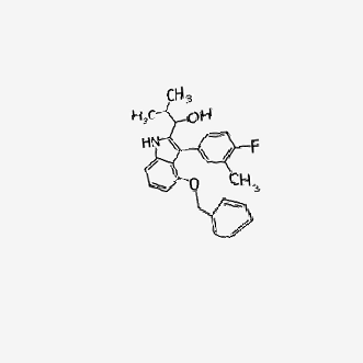 Cc1cc(-c2c(C(O)C(C)C)[nH]c3cccc(OCc4ccccc4)c23)ccc1F